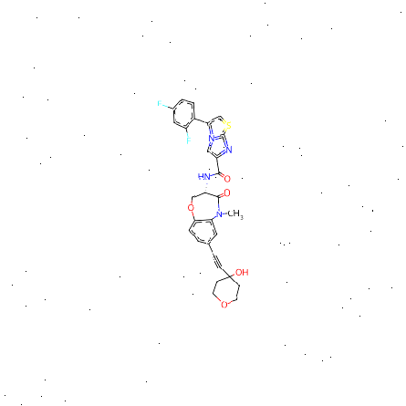 CN1C(=O)[C@@H](NC(=O)c2cn3c(-c4ccc(F)cc4F)csc3n2)COc2ccc(C#CC3(O)CCOCC3)cc21